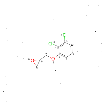 Clc1[c]ccc(OCC2CO2)c1Cl